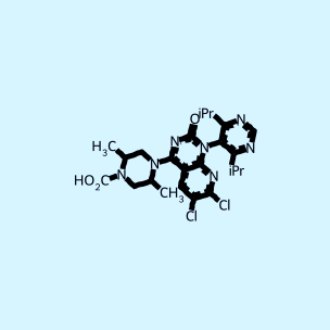 CC(C)c1ncnc(C(C)C)c1-n1c(=O)nc(N2CC(C)N(C(=O)O)CC2C)c2cc(Cl)c(Cl)nc21